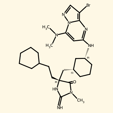 CN1C(=N)N[C@](CCC2CCCCC2)(C[C@H]2CCC[C@@H](Nc3cc(N(C)C)n4ncc(Br)c4n3)C2)C1=O